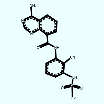 CCCS(=O)(=O)Nc1cccc(NC(=O)c2cccc3c(N)ncnc23)c1C#N